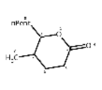 CCCCCC1OC(=O)CCC1C